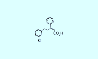 O=C(O)/C=C(\CCc1cccc(Cl)c1)c1ccccc1